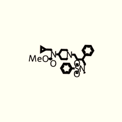 COC(=O)N(CC1CC1)C1CCN(CCC(CN(C)S(=O)(=O)c2ccccc2)c2ccccc2)CC1